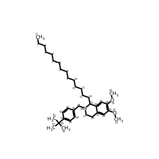 CCCCCCCCCCCCCCCC1c2cc(OC)c(OC)cc2CCN1Cc1ccc(C(C)(C)C)cc1